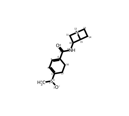 C[S+]([O-])C1=CC=C(C(=O)NC2CN3CCC23)CC1